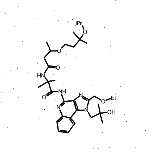 CCOCc1nc2c(NC(=O)C(C)(C)NC(=O)CC(C)OCCC(C)(C)OC(C)C)nc3ccccc3c2n1CC(C)(C)O